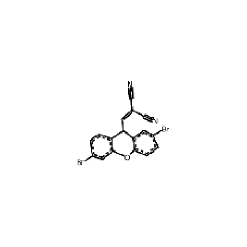 N#CC(C#N)=CC1c2ccc(Br)cc2Oc2ccc(Br)cc21